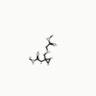 COC(=O)CSCC1(CC(=O)OC)CC1